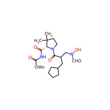 COC(=O)NC(=O)[C@H]1N(C(=O)C(CC2CCCC2)CN(O)C=O)CCC1(C)C